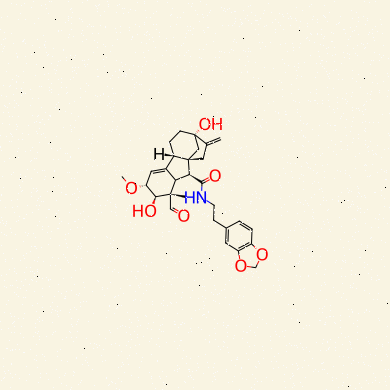 C=C1C[C@]23C[C@@]1(O)CC[C@H]2C1=C[C@@H](OC)[C@H](O)[C@@](C)(C=O)C1[C@@H]3C(=O)NCCc1ccc2c(c1)OCO2